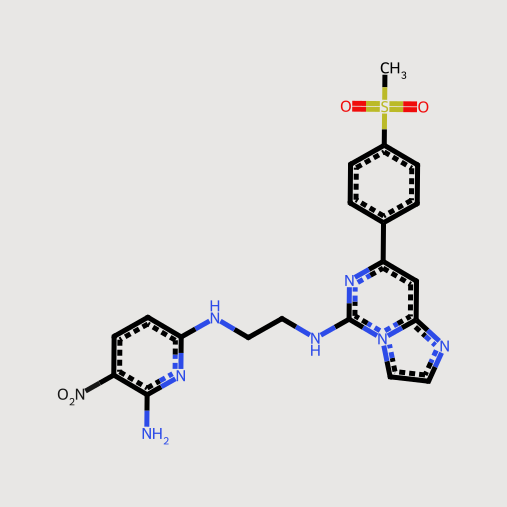 CS(=O)(=O)c1ccc(-c2cc3nccn3c(NCCNc3ccc([N+](=O)[O-])c(N)n3)n2)cc1